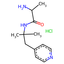 CC(N)C(=O)NC(C)(C)Cc1ccncc1.Cl